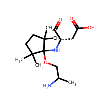 CC(N)COC1(N[C@H](C=O)CC(=O)O)C(C)(C)CCC1(C)C